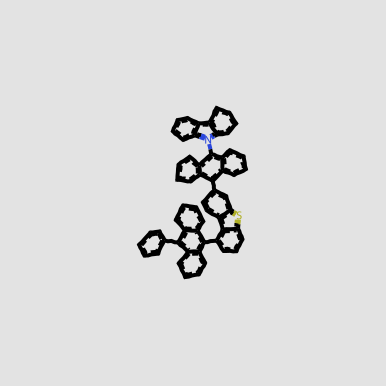 c1ccc(-c2c3ccccc3c(-c3cccc4sc5cc(-c6c7ccccc7c(-n7c8ccccc8c8ccccc87)c7ccccc67)ccc5c34)c3ccccc23)cc1